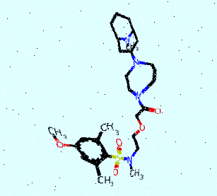 COc1cc(C)c(S(=O)(=O)N(C)CCOCC(=O)N2CCN(C3CC4CCCC(C3)N4C)CC2)c(C)c1